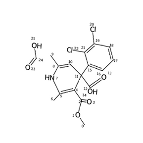 COC(=O)C1=C(C)NC(C)=CC1(C(=O)O)c1cccc(Cl)c1Cl.O=CO